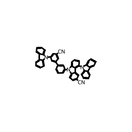 N#Cc1cc(-c2cccc(-n3c4ccc(C#N)cc4c4c(-n5c6ccccc6c6ccccc65)cccc43)c2)cc(-n2c3ccccc3c3ccccc32)c1